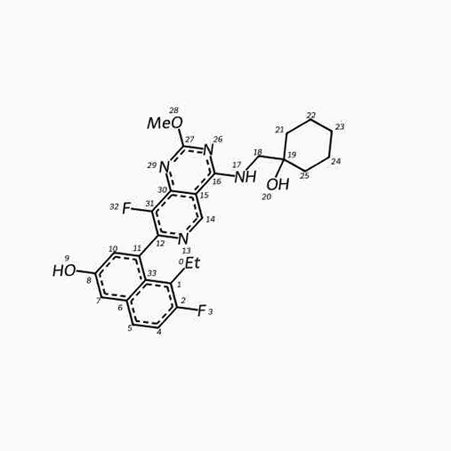 CCc1c(F)ccc2cc(O)cc(-c3ncc4c(NCC5(O)CCCCC5)nc(OC)nc4c3F)c12